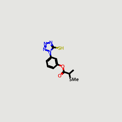 CSC(C)C(=O)Oc1cccc(-n2nnnc2S)c1